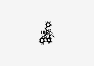 CN(C)C1=NC(NC(=O)CC2CCCCC2)C(=O)N(c2ccccc2)c2ccccc21